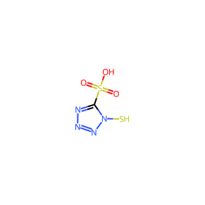 O=S(=O)(O)c1nnnn1S